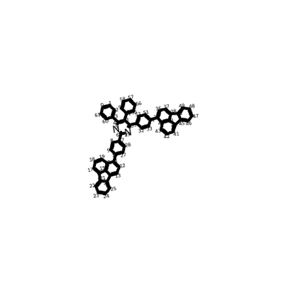 c1ccc(-c2nc(-c3ccc(-c4ccc5c6c(cccc46)-c4ccccc4-5)cc3)nc(-c3ccc(-c4ccc5c6c(cccc46)-c4ccccc4-5)cc3)c2-c2ccccc2)cc1